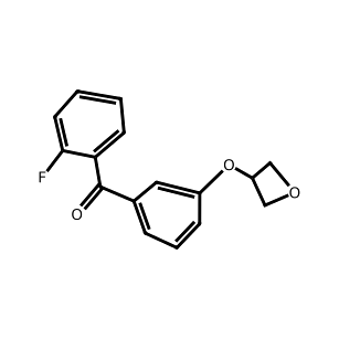 O=C(c1cccc(OC2COC2)c1)c1ccccc1F